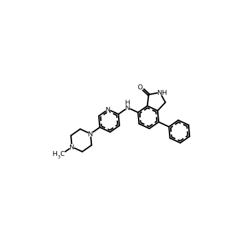 CN1CCN(c2ccc(Nc3ccc(-c4ccccc4)c4c3C(=O)NC4)nc2)CC1